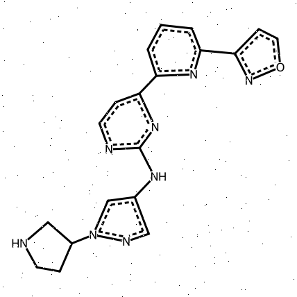 c1cc(-c2ccon2)nc(-c2ccnc(Nc3cnn(C4CCNC4)c3)n2)c1